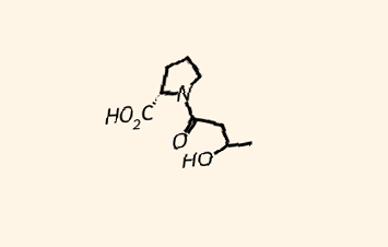 CC(O)CC(=O)N1CCC[C@H]1C(=O)O